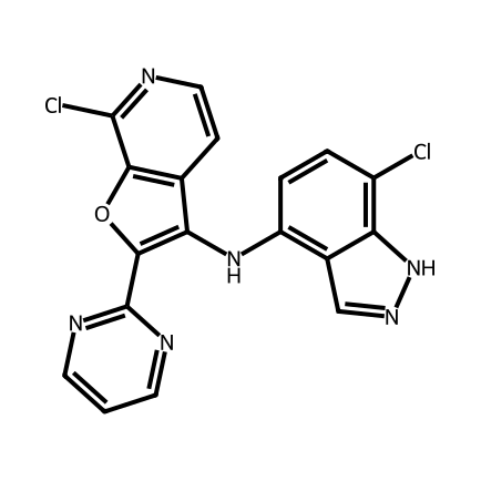 Clc1ccc(Nc2c(-c3ncccn3)oc3c(Cl)nccc23)c2cn[nH]c12